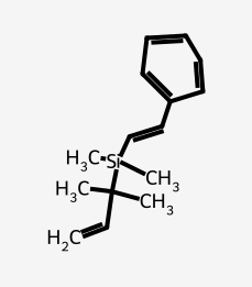 C=CC(C)(C)[Si](C)(C)C=Cc1ccccc1